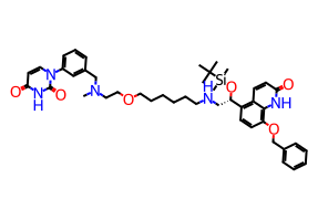 CN(CCOCCCCCCNC[C@H](O[Si](C)(C)C(C)(C)C)c1ccc(OCc2ccccc2)c2[nH]c(=O)ccc12)Cc1cccc(-n2ccc(=O)[nH]c2=O)c1